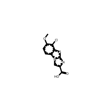 COc1ccc2c(sc3nc(C(=O)O)cn32)c1Cl